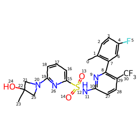 Cc1ccc(F)cc1-c1nc(NS(=O)(=O)c2cccc(N3CC(C)(O)C3)n2)ccc1C(F)(F)F